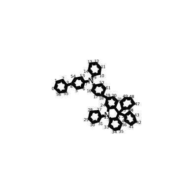 c1ccc(-c2ccc(N(c3ccccc3)c3ccc(-c4ccc5c(c4)N(c4ccccc4)c4ccccc4C5(c4ccccc4)c4ccccc4)cc3)cc2)cc1